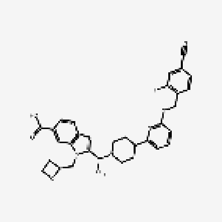 C[C@@H](c1nc2ccc(C(=O)O)cc2n1C[C@@H]1CCO1)N1CCC(c2cccc(OCc3ccc(C#N)cc3F)n2)CC1